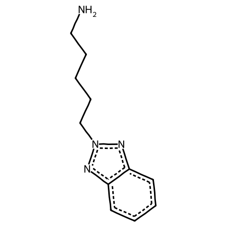 NCCCCCn1nc2ccccc2n1